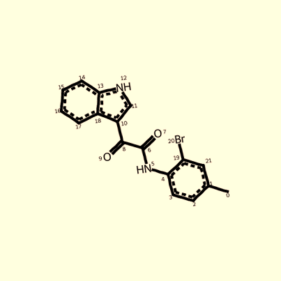 Cc1ccc(NC(=O)C(=O)c2c[nH]c3ccccc23)c(Br)c1